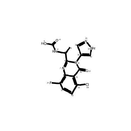 CC(NC(=O)O)c1nc2c(F)ccc(Cl)c2c(=O)n1-c1cn[nH]c1